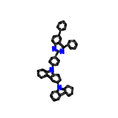 c1ccc(-c2ccc3nc(-c4ccc(-n5c6ccccc6c6cc(-n7c8ccccc8c8ccccc87)ccc65)cc4)nc(-c4ccccc4)c3c2)cc1